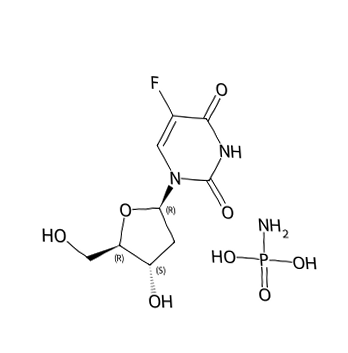 NP(=O)(O)O.O=c1[nH]c(=O)n([C@H]2C[C@H](O)[C@@H](CO)O2)cc1F